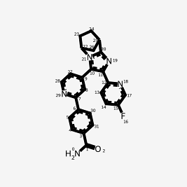 NC(=O)c1ccc(-c2cc(-c3c(-c4ccc(F)cn4)nc4n3C3CCC4C3)ccn2)cc1